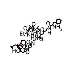 CCC(NC(C)=O)C(=O)NC(C)C(=O)NC(C)C(=O)NC(CCCCNC(=O)C(N)Cc1ccccc1)C(=O)NCCN(C)C(=O)OC1=C2O[C@H]3C(=O)CCC4(O)C5CC(C=C1)C2C34CCN5CC1CC1